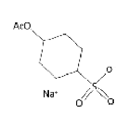 CC(=O)OC1CCC(S(=O)(=O)[O-])CC1.[Na+]